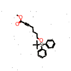 COC(=O)C#CCCCCO[Si](c1ccccc1)(c1ccccc1)C(C)(C)C